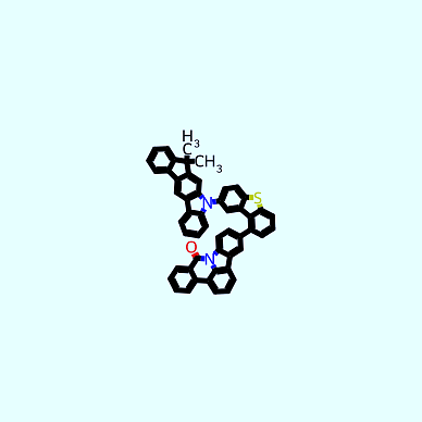 CC1(C)c2ccccc2-c2cc3c4ccccc4n(-c4ccc5sc6cccc(-c7ccc8c(c7)c7cccc9c%10ccccc%10c(=O)n8c97)c6c5c4)c3cc21